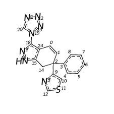 C1=CC(c2ccccc2)(c2cscn2)Cc2[nH]nc(-n3cnnn3)c21